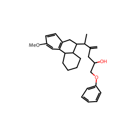 C=C(CC(O)COc1ccccc1)C(C)C1Cc2ccc(OC)cc2C2CCCCC21